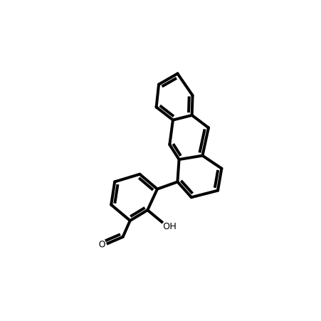 O=Cc1cccc(-c2cccc3cc4ccccc4cc23)c1O